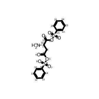 N[C@@H](CC(=O)OS(=O)(=O)c1ccccc1)C(=O)OS(=O)(=O)c1ccccc1